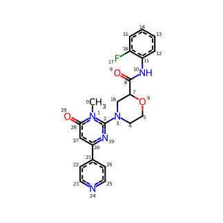 Cn1c(N2CCOC(C(=O)Nc3ccccc3F)C2)nc(-c2ccncc2)cc1=O